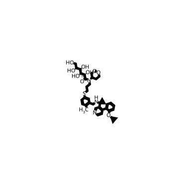 Cc1ccc(SCCCN(C(=O)[C@@H](O)[C@@H](O)[C@H](O)[C@@H](O)CO)C2CCOOC2)cc1CNC1(c2cnccc2-c2ccccc2OC2CC2)CC1